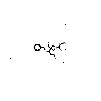 C=CC1(C(CCO)OCc2ccccc2)CN(C(=O)OC(C)(C)C)C1